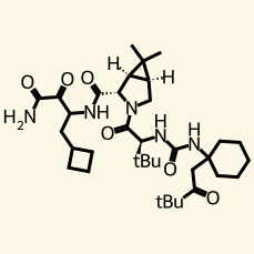 CC(C)(C)C(=O)CC1(NC(=O)N[C@H](C(=O)N2C[C@H]3[C@@H]([C@H]2C(=O)NC(CC2CCC2)C(=O)C(N)=O)C3(C)C)C(C)(C)C)CCCCC1